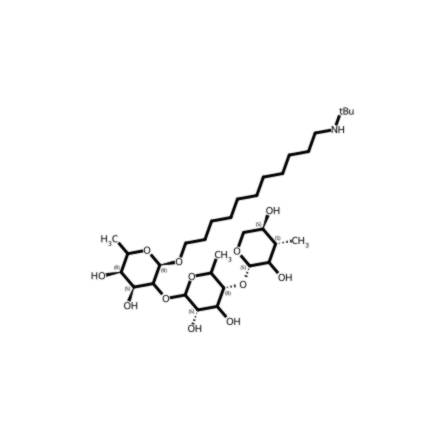 CC1OC(OC2[C@H](OCCCCCCCCCCCNC(C)(C)C)OC(C)[C@H](O)[C@@H]2O)[C@@H](O)C(O)[C@H]1O[C@@H]1OC[C@@H](O)[C@H](C)C1O